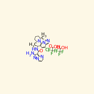 CC(NC(=O)c1c(N)nn2cccnc12)c1cc(Cl)c2cncn2c1N1CCCC[C@H]1C.O=C(O)C(F)(F)F.O=C(O)C(F)(F)F